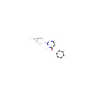 Cn1c(N2CC3C(N)C3C2)nc(N)c(Sc2cccc(Cl)c2Cl)c1=O